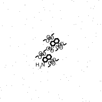 CCOP(=O)(OCC)c1cc(N)cc2c(P(=O)(OCC)OCC)cccc12.CCOP(=O)(OCC)c1cc([N+](=O)[O-])cc2c(P(=O)(OCC)OCC)cccc12